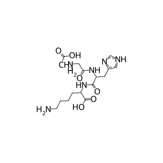 CC(=O)O.NCCCCC(NC(=O)C(Cc1c[nH]cn1)NC(=O)CN)C(=O)O